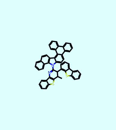 CC1c2sc3ccccc3c2N=C(n2c3ccc4c5ccccc5c5ccccc5c4c3c3ccc4ccccc4c32)C1c1cccc2c1sc1ccccc12